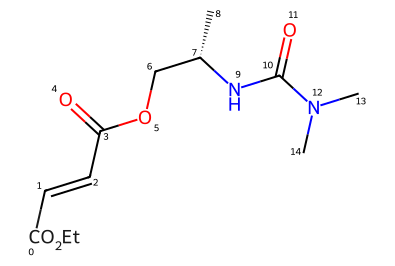 CCOC(=O)/C=C/C(=O)OC[C@H](C)NC(=O)N(C)C